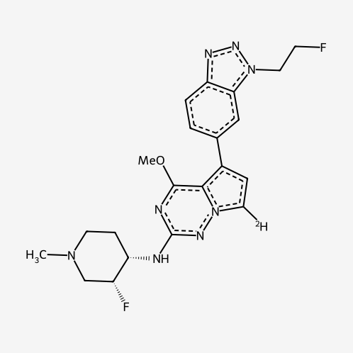 [2H]c1cc(-c2ccc3nnn(CCF)c3c2)c2c(OC)nc(N[C@H]3CCN(C)C[C@H]3F)nn12